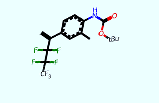 C=C(c1ccc(NC(=O)OC(C)(C)C)c(C)c1)C(F)(F)C(F)(F)C(F)(F)F